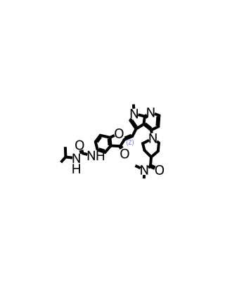 CC(C)NC(=O)Nc1ccc2c(c1)C(=O)/C(=C/c1cn(C)c3nccc(N4CCC(C(=O)N(C)C)CC4)c13)O2